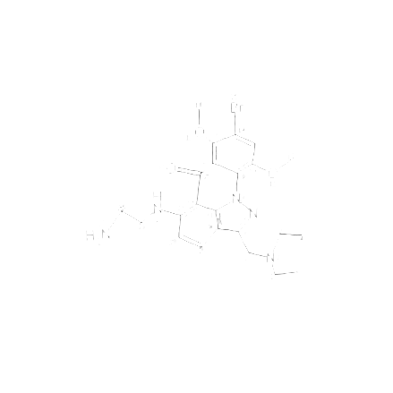 CCN(CC)Cc1nn2c3c(OC)cc(Br)c(OC)c3c(=O)c3c(NCCN)ccc1c32